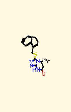 CCCc1cc(=O)[nH]c2nnc(SCc3cccc4ccccc34)n12